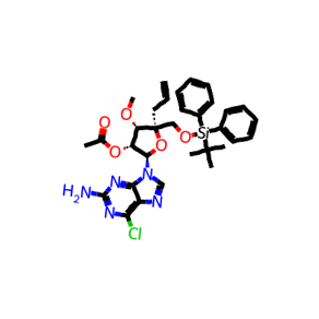 C=CC[C@]1(CO[Si](c2ccccc2)(c2ccccc2)C(C)(C)C)O[C@@H](n2cnc3c(Cl)nc(N)nc32)[C@H](OC(C)=O)[C@@H]1OC